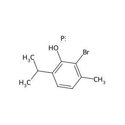 Cc1ccc(C(C)C)c(O)c1Br.[P]